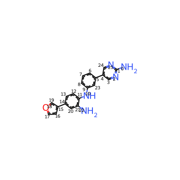 Nc1ncc(-c2cccc(Nc3ccc(-c4ccoc4)cc3N)c2)cn1